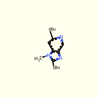 Cn1c(C(C)(C)C)nc2cnc(C(C)(C)C)cc21